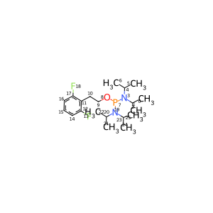 CC(C)N(C(C)C)P(OCCc1c(F)cccc1F)N(C(C)C)C(C)C